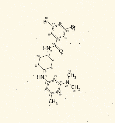 Cc1cc(N[C@H]2CC[C@@H](NC(=O)c3cc(Br)cc(Br)c3)CC2)nc(N(C)C)n1